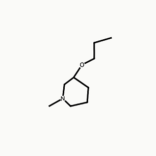 CCCOC1CCCN(C)C1